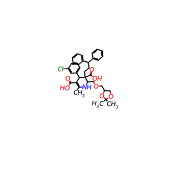 CC1=C(C(=O)O)C(c2cccc(Cl)c2)C(CCC(c2ccccc2)c2ccccc2)(C(=O)O)C(COCC2COC(C)(C)O2)N1